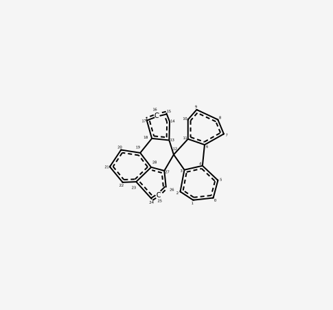 c1ccc2c(c1)-c1ccccc1C21c2ccccc2-c2cccc3cccc1c23